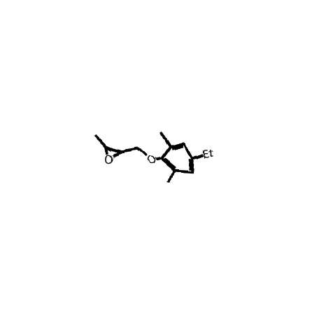 CCc1cc(C)c(OCC2OC2C)c(C)c1